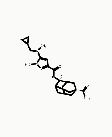 CN(CC1CC1)c1cc(C(=O)N[C@H]2C3CC4CC2C[C@](C(N)=O)(C4)C3)nn1C